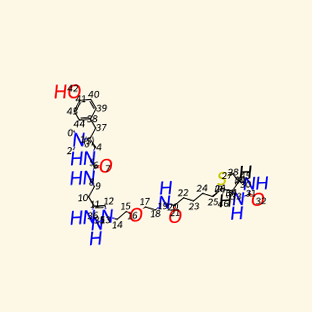 CN(C)[C@H](CNC(=O)NCCC1=CN(CCOCCNC(=O)CCCC[C@H]2SC[C@@H]3NC(=O)N[C@@H]32)NN1)Cc1ccc(O)cc1